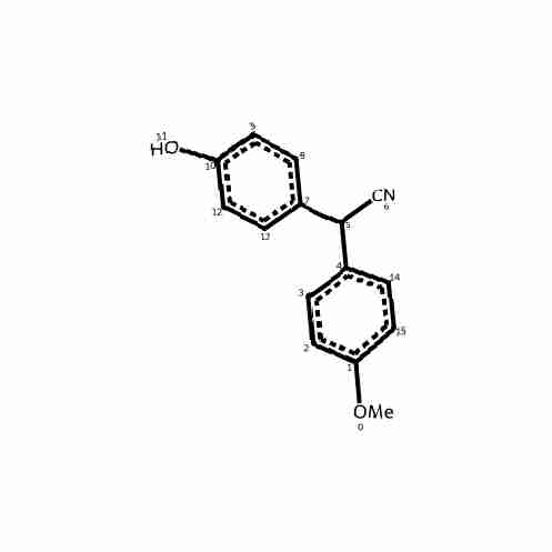 COc1ccc(C(C#N)c2ccc(O)cc2)cc1